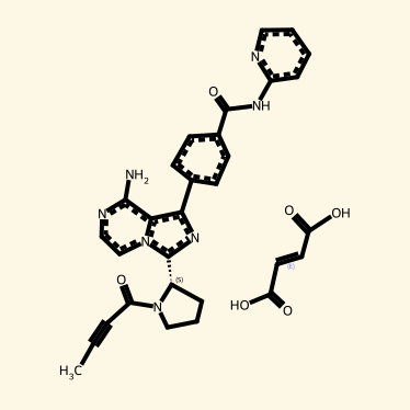 CC#CC(=O)N1CCC[C@H]1c1nc(-c2ccc(C(=O)Nc3ccccn3)cc2)c2c(N)nccn12.O=C(O)/C=C/C(=O)O